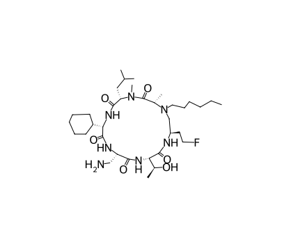 CCCCCCN1C[C@@H](CCF)NC(=O)[C@H]([C@H](C)O)NC(=O)[C@H](CN)NC(=O)[C@H](C2CCCCC2)NC(=O)[C@H](CC(C)C)N(C)C(=O)[C@@H]1C